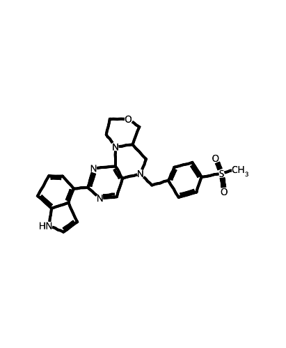 CS(=O)(=O)c1ccc(CN2CC3COCCN3c3nc(-c4cccc5[nH]ccc45)ncc32)cc1